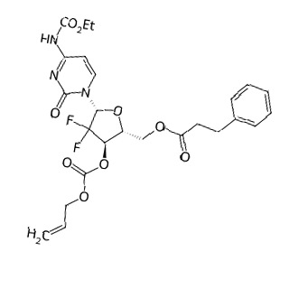 C=CCOC(=O)O[C@@H]1[C@@H](COC(=O)CCc2ccccc2)O[C@@H](n2ccc(NC(=O)OCC)nc2=O)C1(F)F